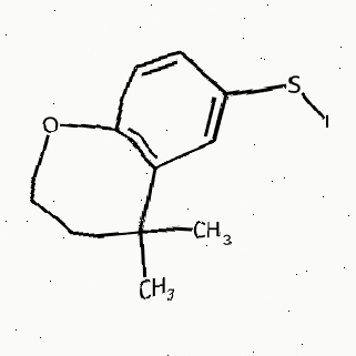 CC1(C)CCOc2ccc(SI)cc21